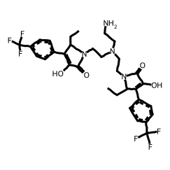 CCC1C(c2ccc(C(F)(F)F)cc2)=C(O)C(=O)N1CCN(CCN)CCN1C(=O)C(O)=C(c2ccc(C(F)(F)F)cc2)C1CC